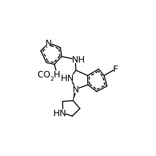 O=C(O)c1ccncc1NC1NN([C@H]2CCNC2)c2ccc(F)cc21